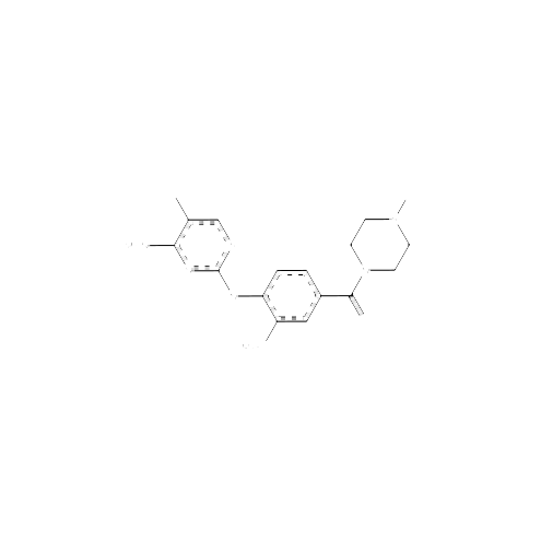 CCN1CCN(C(=O)c2ccc(Nc3ncc(Cl)c(NC)n3)c(OC)c2)CC1